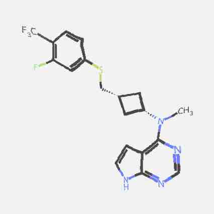 CN(c1ncnc2[nH]ccc12)[C@H]1C[C@@H](CSc2ccc(C(F)(F)F)c(F)c2)C1